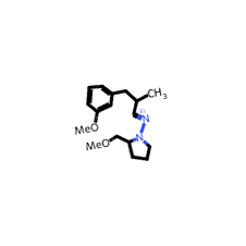 COCC1CCCN1/N=C/C(C)Cc1cccc(OC)c1